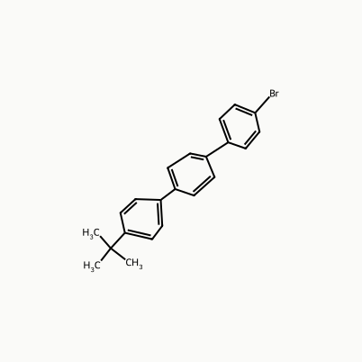 CC(C)(C)c1ccc(-c2ccc(-c3ccc(Br)cc3)cc2)cc1